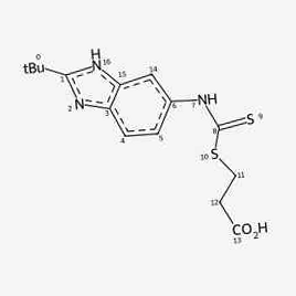 CC(C)(C)c1nc2ccc(NC(=S)SCCC(=O)O)cc2[nH]1